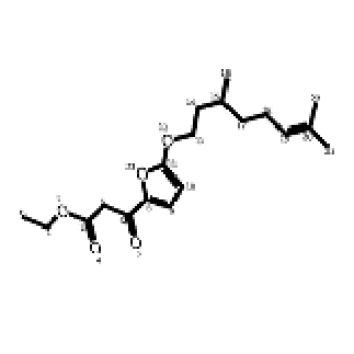 CCOC(=O)CC(=O)c1ccc(OCCC(C)CCC=C(C)C)o1